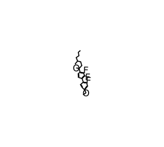 CCCCC1CCC(c2ccc(-c3ccc(OC)cc3F)c(F)c2F)OC1